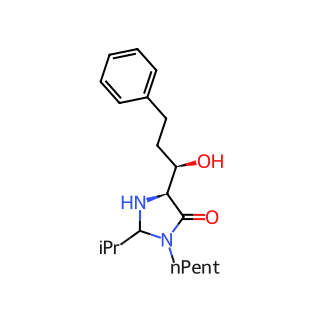 CCCCCN1C(=O)[C@H]([C@H](O)CCc2ccccc2)NC1C(C)C